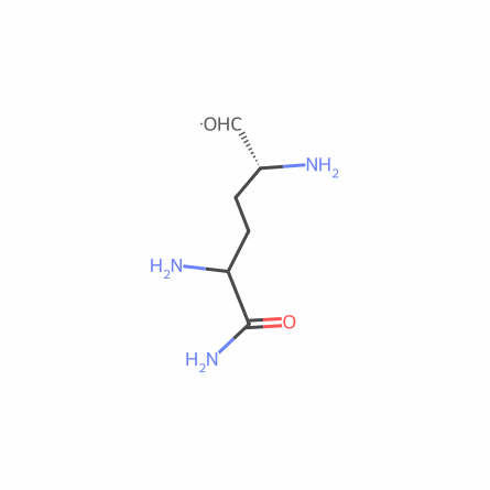 NC(=O)C(N)CC[C@@H](N)[C]=O